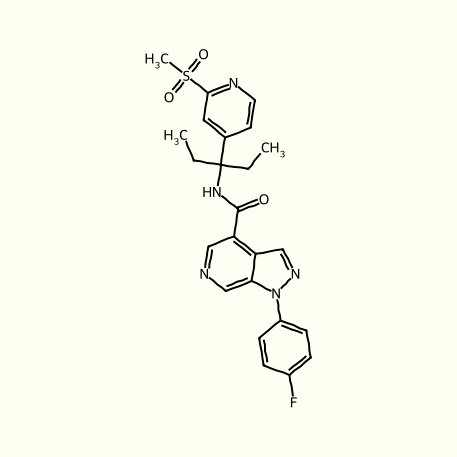 CCC(CC)(NC(=O)c1cncc2c1cnn2-c1ccc(F)cc1)c1ccnc(S(C)(=O)=O)c1